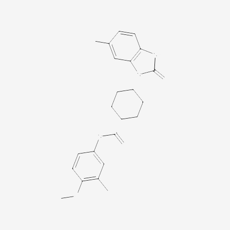 COc1ccc(NC(=O)[C@H]2CC[C@@H](n3c(=O)[nH]c4ccc(F)cc43)CC2)cc1C